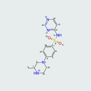 CC1CN(c2ccc(S(=O)(=O)Nc3ccncn3)cc2)CCN1